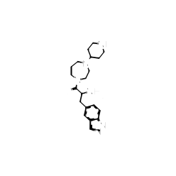 NC(Cc1ccc2[nH]ncc2c1)C(=O)N1CCCN(C2CCNCC2)CC1